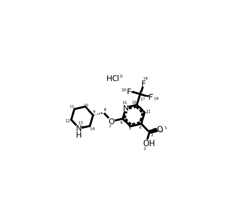 Cl.O=C(O)c1cc(OC[C@H]2CCCNC2)nc(C(F)(F)F)c1